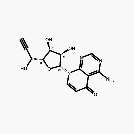 C#CC(O)[C@H]1O[C@@H](n2ccc(=O)c3c(N)ncnc32)[C@H](O)[C@@H]1O